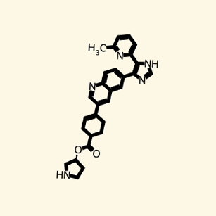 Cc1cccc(-c2[nH]cnc2-c2ccc3ncc(C4=CCC(C(=O)O[C@@H]5CCNC5)CC4)cc3c2)n1